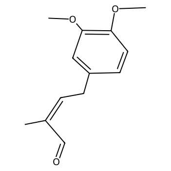 COc1ccc(CC=C(C)C=O)cc1OC